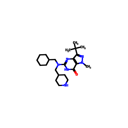 Cn1nc(C(C)(C)C)c2nc(N(CC3CCCCC3)CC3CCNCC3)[nH]c(=O)c21